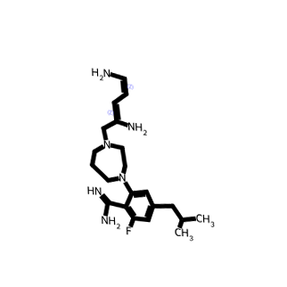 CC(C)Cc1cc(F)c(C(=N)N)c(N2CCCN(C/C(N)=C/C=C\N)CC2)c1